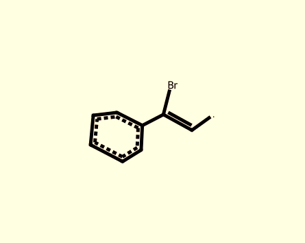 [CH2]C=C(Br)c1ccccc1